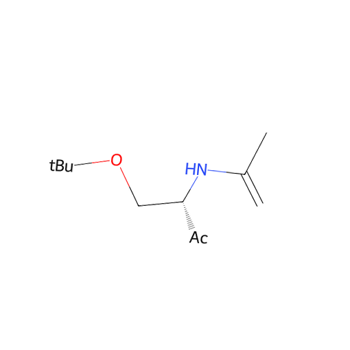 C=C(C)N[C@@H](COC(C)(C)C)C(C)=O